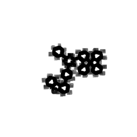 c1ccc(-c2nc(-c3ccc(-c4cccc5oc6ccccc6c45)cc3)nc(-c3cccc4c3-c3ccccc3C43c4ccccc4-c4ccccc43)n2)cc1